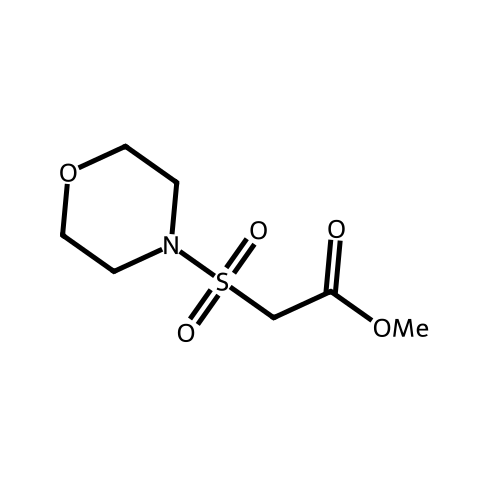 COC(=O)CS(=O)(=O)N1CCOCC1